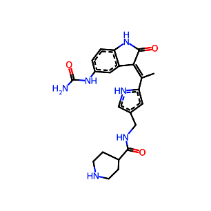 CC(=C1C(=O)Nc2ccc(NC(N)=O)cc21)c1cc(CNC(=O)C2CCNCC2)c[nH]1